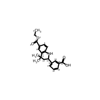 CCOC(=O)c1ccc2c(c1)C(C)(C)CC(c1cccc(C(=O)O)c1)N2